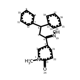 Cn1cc(/C(CC(c2ccccc2)c2ccccc2)=N/O)ccc1=O